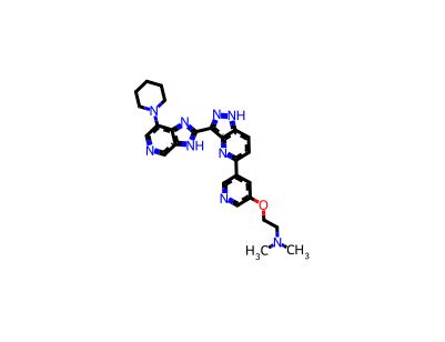 CN(C)CCOc1cncc(-c2ccc3[nH]nc(-c4nc5c(N6CCCCC6)cncc5[nH]4)c3n2)c1